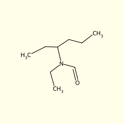 CCCC(CC)N(C=O)CC